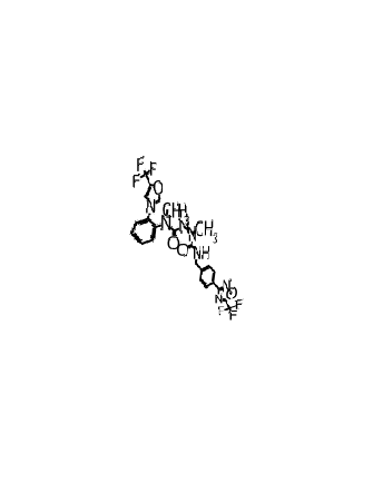 CN(NC(=O)N(C)c1ccccc1N1C=C(C(F)(F)F)OC1)C(=O)NCc1ccc(-c2noc(C(F)(F)F)n2)cc1